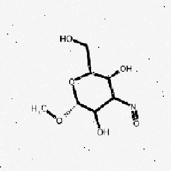 CO[C@@H]1OC(CO)[C@@H](O)C(N=O)C1O